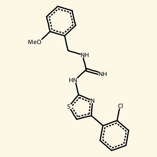 COc1ccccc1CNC(=N)Nc1nc(-c2ccccc2Cl)cs1